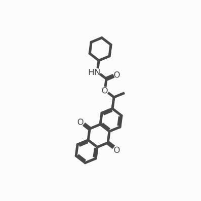 CC(OC(=O)NC1CCCCC1)c1ccc2c(c1)C(=O)c1ccccc1C2=O